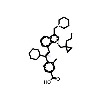 CCCC1(Cn2cc(CN3CCCCC3)c3cccc(/C=C(/c4ccc(C(=O)O)cc4C)C4CCCCC4)c32)CC1